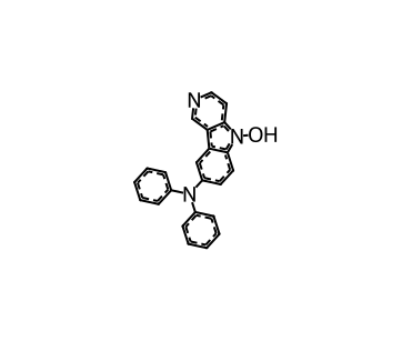 On1c2ccncc2c2cc(N(c3ccccc3)c3ccccc3)ccc21